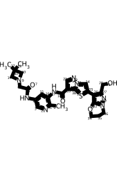 Cc1ncc(NC(=O)CN2CC(C)(C)C2)cc1NC(=O)c1cnn2cc(-c3c(CO)nn4c3OCCC4)sc12